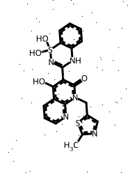 Cc1ncc(Cn2c(=O)c(C3=NS(O)(O)c4ccccc4N3)c(O)c3cccnc32)s1